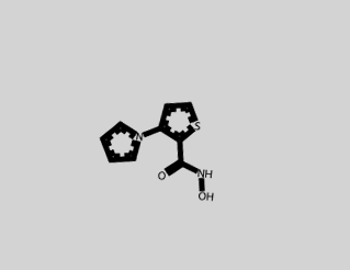 O=C(NO)c1sccc1-n1cccc1